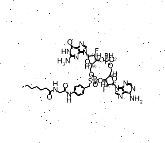 B[P@]1(=O)OC[C@H]2O[C@@H](n3cnc4c(N)ncnc43)[C@H](F)[C@@H]2O[P@@](=O)(SCc2ccc(NC(=O)CNC(=O)CCCCCC)cc2)OC[C@H]2O[C@@H](n3cnc4c(=O)[nH]c(N)nc43)[C@H](F)[C@@H]2O1